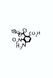 CC(C)(C)OC(=O)c1c(C(=O)O)ccc(N)c1[N+](=O)[O-]